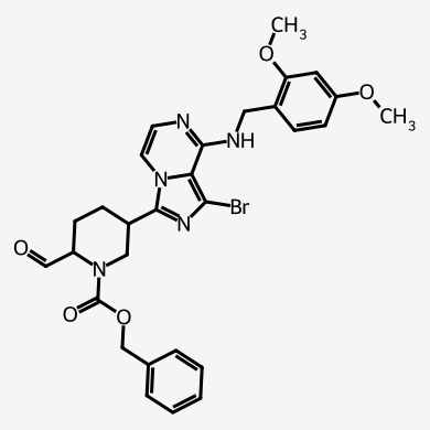 COc1ccc(CNc2nccn3c(C4CCC(C=O)N(C(=O)OCc5ccccc5)C4)nc(Br)c23)c(OC)c1